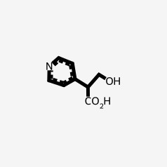 O=C(O)C(CO)c1ccncc1